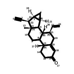 C#C[C@H]1[C@H]2C[C@H]2C2[C@H]3C(CC[C@@]21C)[C@H]1CCC(=O)C=C1C[C@@H]3C=C